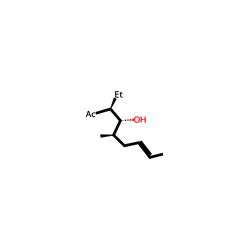 C/C=C/C[C@@H](C)[C@@H](O)[C@H](CC)C(C)=O